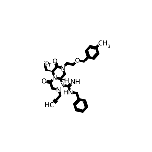 C#CCN1CC(=O)N2[C@@H](CC(C)C)C(=O)N(CCOCc3ccc(C)cc3)C[C@@H]2N1C(=N)NCc1ccccc1